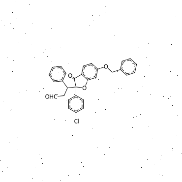 O=CCC(c1ccccc1)C1(c2ccc(Cl)cc2)Oc2cc(OCc3ccccc3)ccc2C1=O